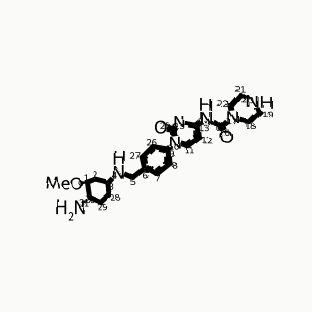 CO[C@H]1CC(NCc2ccc(-n3ccc(NC(=O)N4CCNCC4)nc3=O)cc2)CC[C@@H]1N